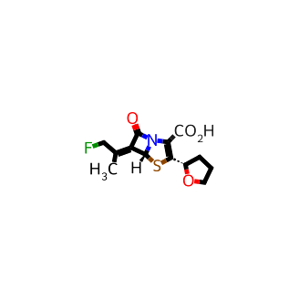 C/C(CF)=C1/C(=O)N2C(C(=O)O)=C([C@@H]3CCCO3)S[C@H]12